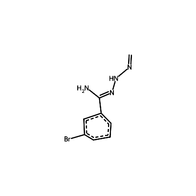 C=NN/N=C(\N)c1cccc(Br)c1